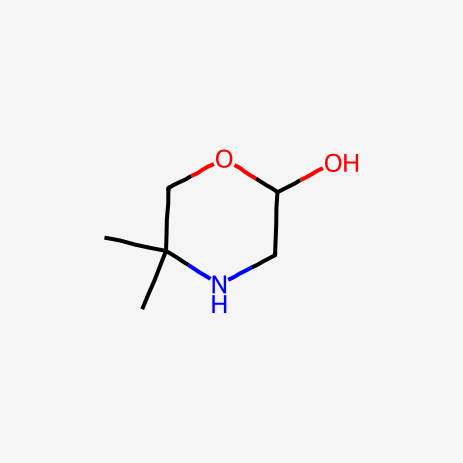 CC1(C)COC(O)CN1